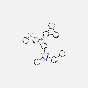 CC1(C)c2ccccc2-c2cc3c4cc(-c5nc(-c6ccccc6)nc(-c6cccc(C7=CC=CCC7)c6)n5)ccc4n(-c4ccc5c6ccccc6c6ccccc6c5c4)c3cc21